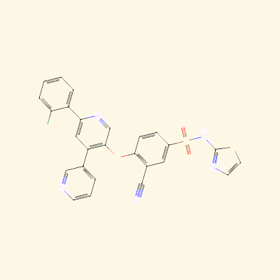 N#Cc1cc(S(=O)(=O)Nc2nccs2)ccc1Oc1cnc(-c2ccccc2F)cc1-c1cccnc1